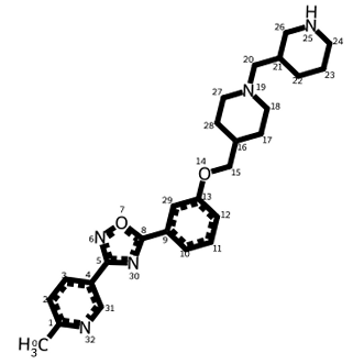 Cc1ccc(-c2noc(-c3cccc(OCC4CCN(CC5CCCNC5)CC4)c3)n2)cn1